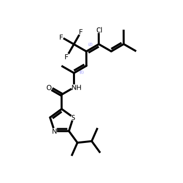 CC(C)=C/C(Cl)=C(\C=C(/C)NC(=O)c1cnc(C(C)C(C)C)s1)C(F)(F)F